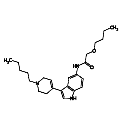 CCCCCN1CC=C(c2c[nH]c3ccc(NC(=O)COCCCC)cc23)CC1